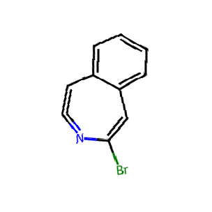 BrC1=Cc2ccccc2C=C=N1